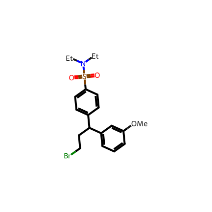 CCN(CC)S(=O)(=O)c1ccc(C(CCBr)c2cccc(OC)c2)cc1